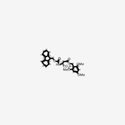 COc1cc(OC)c(CSC(=O)C[C@H](NC(=O)OCC2c3ccccc3-c3ccccc32)C(=O)O)c(OC)c1